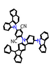 N#Cc1cc(-n2c3ccccc3c3c4ccccc4ccc32)c(C#N)cc1-n1c2ccc(-n3c4ccccc4c4ccccc43)cc2c2cc3c(cc21)C(c1ccccc1)c1ccccc1-3